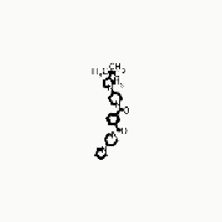 CC(C)(C)C1CCN(C2CCN(C(=O)c3cccc(C(=O)N4CCC(N5CCCC5)CC4)c3)CC2)C1